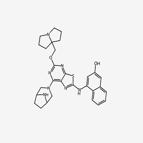 Oc1cc(Nc2nc3c(N4CC5CCC(C4)N5)nc(OCC45CCCN4CCC5)nc3s2)c2ccccc2c1